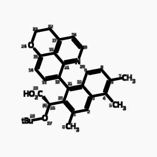 Cc1cc2c(C)c(C)ccc2c(-c2ccc3c4c(ccnc24)CCO3)c1[C@@H](OC(C)(C)C)C(=O)O